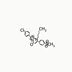 CCCCCn1c(-c2ccc(S(C)(=O)=O)cc2)cc(=O)n2cc(-c3ccc(Cl)cc3)nc12